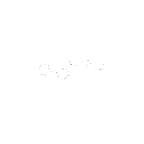 Cc1cc(-c2ccccc2)cc(C(=O)NNS(=O)(=O)C2CCNC2)c1F